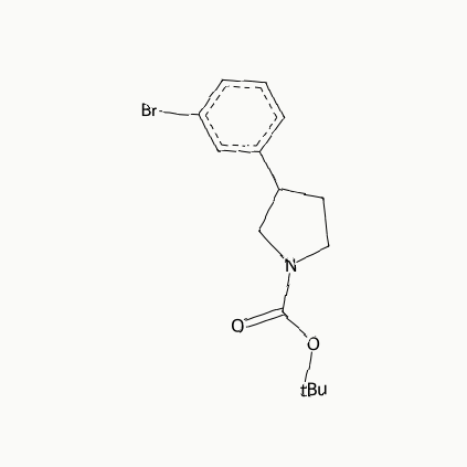 CC(C)(C)OC(=O)N1CCC(c2cccc(Br)c2)C1